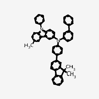 Cc1ccc2c(c1)c1cc(N(c3ccc(-c4ccc5c(c4)C(C)(C)c4ccccc4-5)cc3)c3cccc(-c4ccccc4)c3)ccc1n2-c1ccccc1